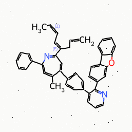 C=CC/C(=C\C=C/C)C1=NC(c2ccccc2)=C=C(C)C(c2ccc(-c3cccnc3-c3ccc4c(c3)oc3ccccc34)cc2)=C1